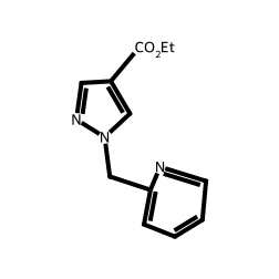 CCOC(=O)c1cnn(Cc2ccccn2)c1